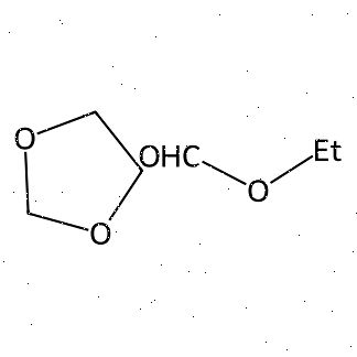 C1COCO1.CCOC=O